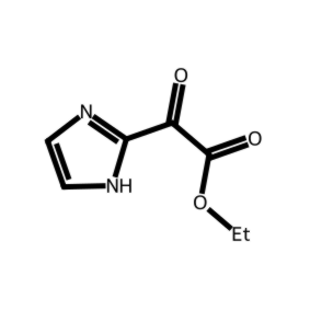 CCOC(=O)C(=O)c1ncc[nH]1